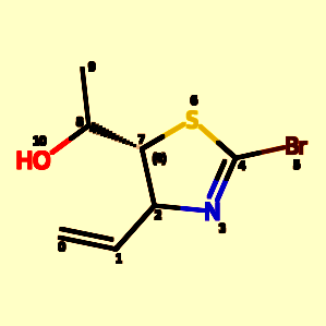 C=CC1N=C(Br)S[C@H]1C(C)O